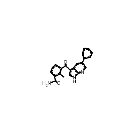 Cc1c(C(N)=O)cccc1C(=O)c1c[nH]c2ncc(-c3ccccc3)cc12